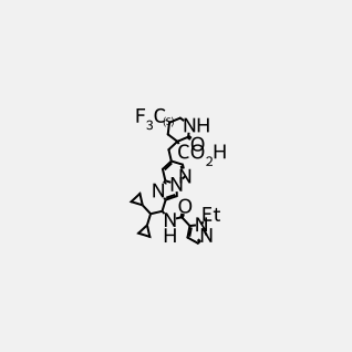 CCn1nccc1C(=O)NC(c1cn2ncc(CC3(C(=O)O)C[C@H](C(F)(F)F)CNC3=O)cc2n1)C(C1CC1)C1CC1